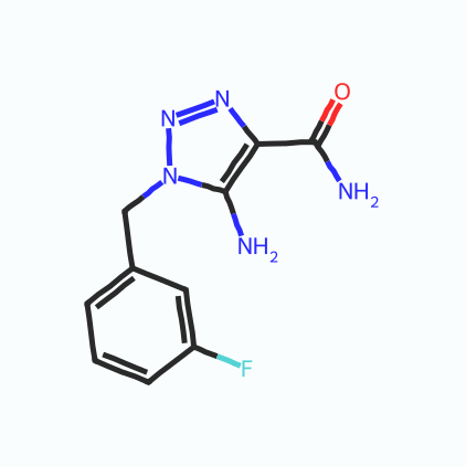 NC(=O)c1nnn(Cc2cccc(F)c2)c1N